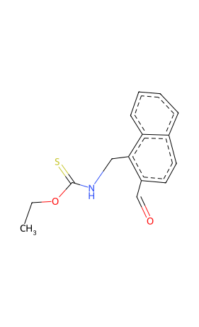 CCOC(=S)NCc1c(C=O)ccc2ccccc12